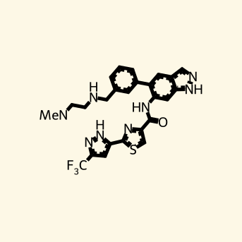 CNCCNCc1cccc(-c2cc3cn[nH]c3cc2NC(=O)c2csc(-c3cc(C(F)(F)F)n[nH]3)n2)c1